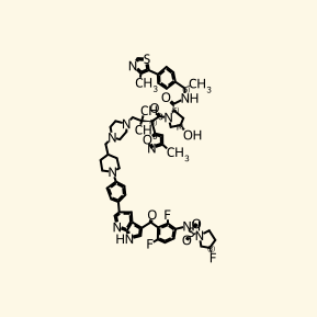 Cc1cc([C@H](C(=O)N2C[C@H](O)C[C@H]2C(=O)N[C@@H](C)c2ccc(-c3scnc3C)cc2)C(C)(C)CN2CCN(CC3CCN(c4ccc(-c5cnc6[nH]cc(C(=O)c7c(F)ccc(NS(=O)(=O)N8CC[C@@H](F)C8)c7F)c6c5)cc4)CC3)CC2)on1